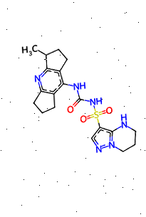 CC1CCc2c1nc1c(c2NC(=O)NS(=O)(=O)c2cnn3c2NCCC3)CCC1